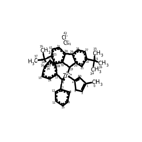 CC1=CC[C]([Zr+2](=[C](c2ccccc2)c2ccccc2)[CH]2c3cc(C(C)(C)C)ccc3-c3ccc(C(C)(C)C)cc32)=C1.[Cl-].[Cl-]